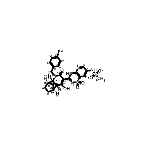 CS(=O)(=O)Nc1cnc2c(c1)S(=O)(=O)N=C(C1=C(O)[C@@H]3[C@H]4CC[C@H](C4)[C@@H]3N(Cc3ccc(F)cc3)C1=O)N2